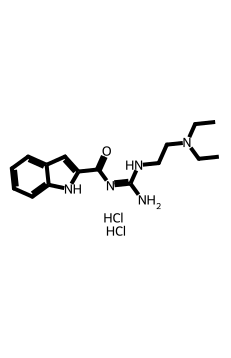 CCN(CC)CCNC(N)=NC(=O)c1cc2ccccc2[nH]1.Cl.Cl